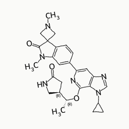 C[C@@H](Oc1nc(-c2ccc3c(c2)N(C)C(=O)C32CN(C)C2)cc2ncn(C3CC3)c12)[C@H]1CNC(=O)C1